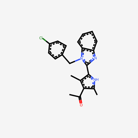 CC(=O)c1c(C)[nH]c(-c2nc3ccccc3n2Cc2ccc(Cl)cc2)c1C